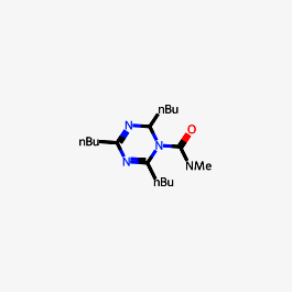 CCCCC1=NC(CCCC)N(C(=O)NC)C(CCCC)=N1